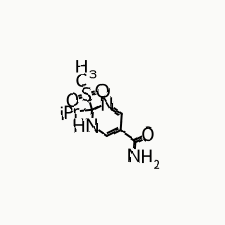 CC(C)C1(S(C)(=O)=O)N=CC(C(N)=O)=CN1